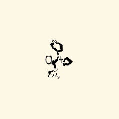 CCOC(=O)N(c1ccncc1)n1cccc1